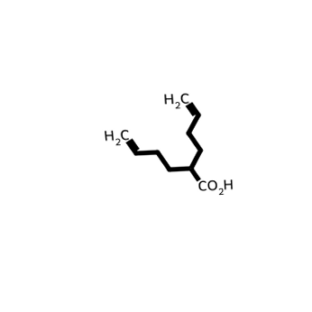 C=CCCC(CCC=C)C(=O)O